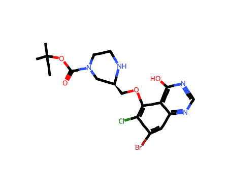 CC(C)(C)OC(=O)N1CCN[C@@H](COc2c(Cl)c(Br)cc3ncnc(O)c23)C1